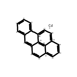 [Cd].c1ccc2c(c1)cc1ccc3cccc4ccc2c1c34